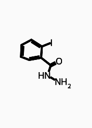 NNC(=O)c1ccccc1I